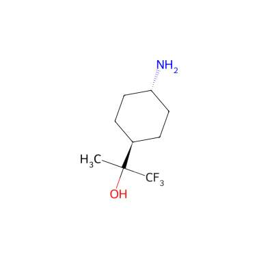 CC(O)([C@H]1CC[C@H](N)CC1)C(F)(F)F